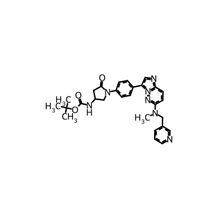 CN(Cc1cccnc1)c1ccc2ncc(-c3ccc(N4CC(NC(=O)OC(C)(C)C)CC4=O)cc3)n2n1